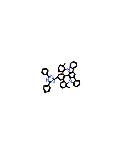 Cc1cccc(C)c1-n1c2ccccc2c2cc3c4ccccc4n(-c4c(C)cccc4C)c3c(-c3ccc(-c4nc(-c5ccccc5)nc(-c5ccccc5)n4)cc3)c21